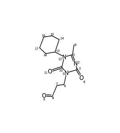 Cc1nc(=O)n(CCC=O)c(=O)n1C1CCCCC1